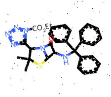 CCOC(=O)n1nnnc1C1N2C(=O)C(NC(c3ccccc3)(c3ccccc3)c3ccccc3)C2SC1(C)C